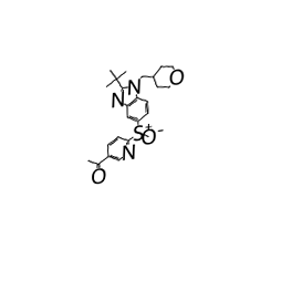 CC(=O)c1ccc([S+]([O-])c2ccc3c(c2)nc(C(C)(C)C)n3CC2CCOCC2)nc1